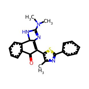 Cc1nc(-c2ccccc2)sc1C1=C2N=C(N(C)C)NC2c2ccccc2C1=O